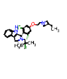 CCC1CN(CCOc2cc(F)c([C@@H]3c4[nH]c5ccccc5c4C[C@@H](C)N3CC(C)(C)F)c(F)c2)C1